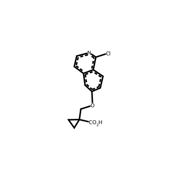 O=C(O)C1(COc2ccc3c(Cl)nccc3c2)CC1